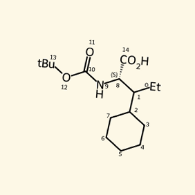 CCC(C1CCCCC1)[C@H](NC(=O)OC(C)(C)C)C(=O)O